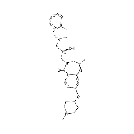 CC1CN(C[C@H](O)CN2CCc3ccccc3C2)C(=O)c2ccc(OC3CCN(C)CC3)cc2O1